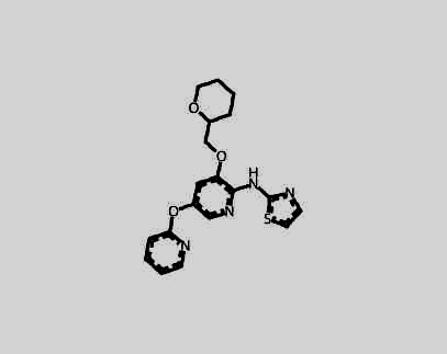 c1ccc(Oc2cnc(Nc3nccs3)c(OCC3CCCCO3)c2)nc1